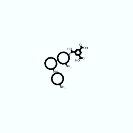 NC1CCCCCCCCCCC1.NC1CCCCCCCCCCC1.NC1CCCCCCCCCCC1.O=C(O)c1cc(C(=O)O)cc(C(=O)O)c1